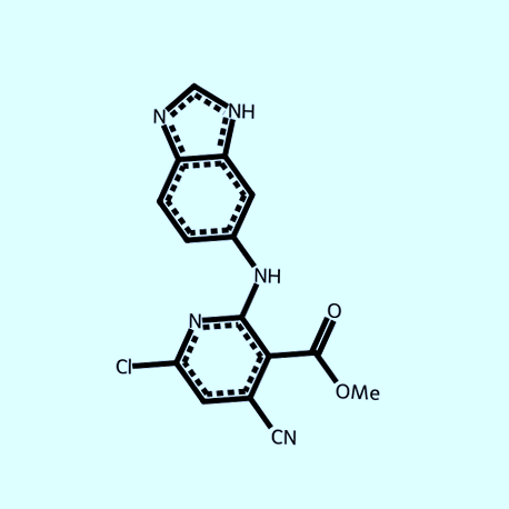 COC(=O)c1c(C#N)cc(Cl)nc1Nc1ccc2nc[nH]c2c1